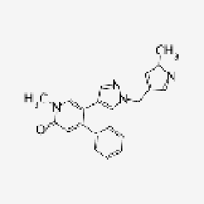 CC1C=C(Cn2cc(-c3cn(C)c(=O)cc3-c3ccccc3)cn2)C=N1